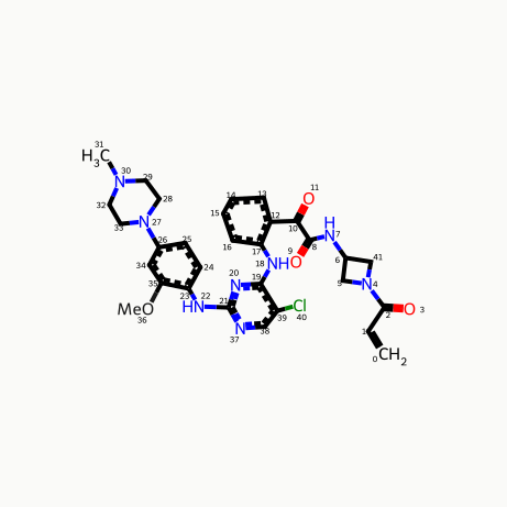 C=CC(=O)N1CC(NC(=O)C(=O)c2ccccc2Nc2nc(Nc3ccc(N4CCN(C)CC4)cc3OC)ncc2Cl)C1